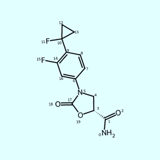 NC(=O)[C@H]1CN(c2ccc(C3(F)CC3)c(F)c2)C(=O)O1